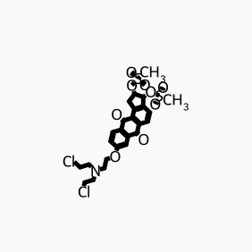 CS(=O)(=O)OC1Cc2c(ccc3c2C(=O)c2ccc(OCCN(CCCl)CCCl)cc2C3=O)C1OS(C)(=O)=O